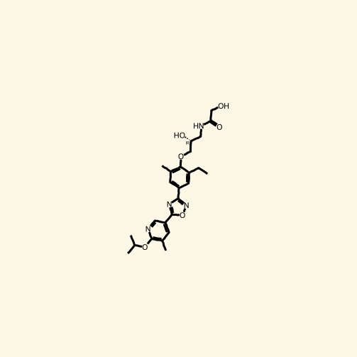 CCc1cc(-c2noc(-c3cnc(OC(C)C)c(C)c3)n2)cc(C)c1OC[C@H](O)CNC(=O)CO